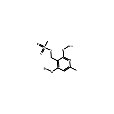 CCCCOc1nc(C)cc(OCC)c1COS(C)(=O)=O